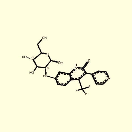 O=c1[nH]c2cc(N[C@@H]3C(O)OC(CO)[C@@H](O)C3O)ccc2c(C(F)(F)F)c1-c1ccncc1